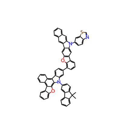 CC1(C)c2ccccc2-c2cc(-n3c4cc(-c5cccc6c5oc5cc7c8cc9ccccc9cc8n(-c8ccc9ncsc9c8)c7cc56)ccc4c4c5ccccc5c5c6ccccc6oc5c43)ccc21